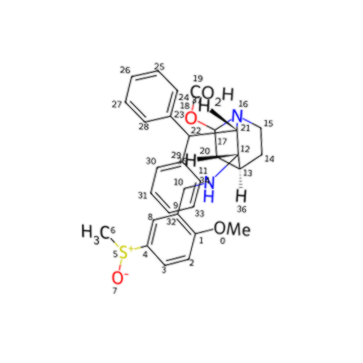 COc1ccc([S+](C)[O-])cc1CN[C@H]1[C@H]2CCN(C(OC(=O)O)C2)[C@H]1C(c1ccccc1)c1ccccc1